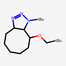 CC(C)(C)COC1CCCCCC2N=NN(C(C)(C)C)C21